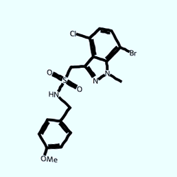 COc1ccc(CNS(=O)(=O)Cc2nn(C)c3c(Br)ccc(Cl)c23)cc1